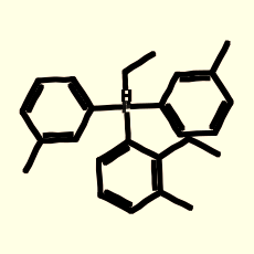 CCc1c(C)cccc1[PH](CC)(c1cccc(C)c1)c1cccc(C)c1